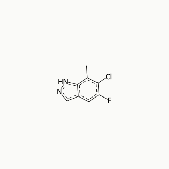 Cc1c(Cl)c(F)cc2cn[nH]c12